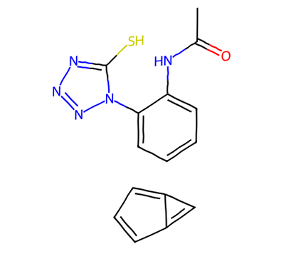 CC(=O)Nc1ccccc1-n1nnnc1S.c1cc2cc-2c1